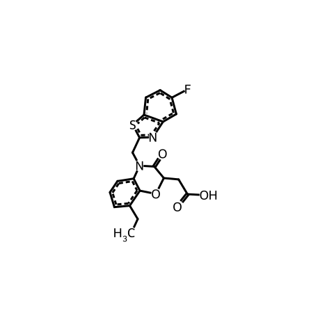 CCc1cccc2c1OC(CC(=O)O)C(=O)N2Cc1nc2cc(F)ccc2s1